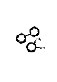 Oc1ccccc1P.c1ccc(-c2ccccc2)cc1